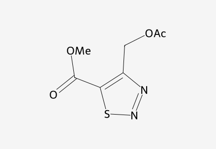 COC(=O)c1snnc1COC(C)=O